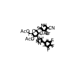 CC(=O)OC[C@H]1O[C@H](Sc2cc(Br)c(C#N)cn2)[C@H](OC(C)=O)[C@@H](n2cc(-c3cc(F)c(F)c(F)c3)nn2)[C@H]1OC(C)=O